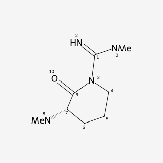 CNC(=N)N1CCC[C@H](NC)C1=O